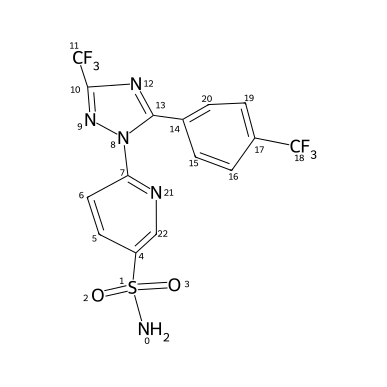 NS(=O)(=O)c1ccc(-n2nc(C(F)(F)F)nc2-c2ccc(C(F)(F)F)cc2)nc1